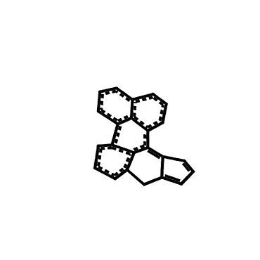 C1=CC2=c3c4cccc5cccc(c6cccc(c36)CC2=C1)c54